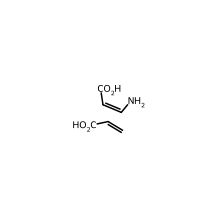 C=CC(=O)O.N/C=C\C(=O)O